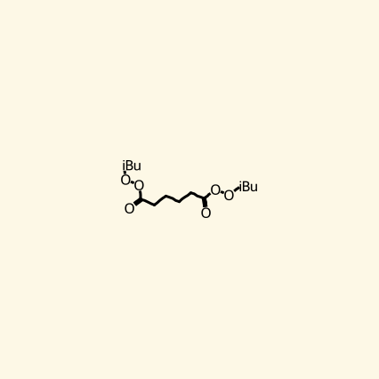 CCC(C)OOC(=O)CCCCC(=O)OOC(C)CC